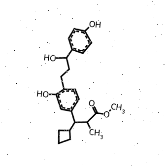 COC(=O)C(C)C(c1ccc(CCC(O)c2ccc(O)cc2)c(O)c1)C1CCC1